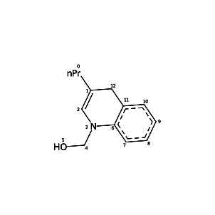 CCCC1=CN(CO)c2ccccc2C1